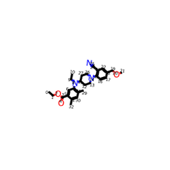 CCOC(=O)c1cc(N(CC)C2CCN(c3ccc(COC)cc3C#N)CC2)c(C)cc1C